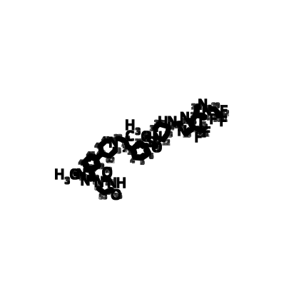 CC(Cc1cccc(S(=O)(=O)N2CCC(Nc3ncc(C(F)(F)F)c(-c4cnn(CC(F)(F)F)c4)n3)CC2)c1)CN1CCC(c2ccc3c(c2)c(N2CCC(=O)NC2=O)nn3C)CC1